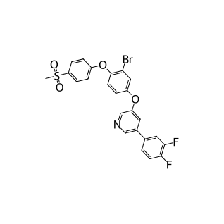 CS(=O)(=O)c1ccc(Oc2ccc(Oc3cncc(-c4ccc(F)c(F)c4)c3)cc2Br)cc1